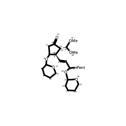 CCCCCC(C=C[C@H]1C(OC2CCCCO2)CC(=O)[C@@H]1C(OC)OC)OC1CCCCO1